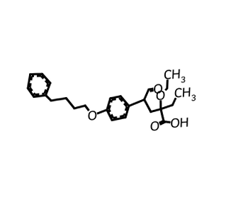 CCOC(CC)(CC(C=O)c1ccc(OCCCCc2ccccc2)cc1)C(=O)O